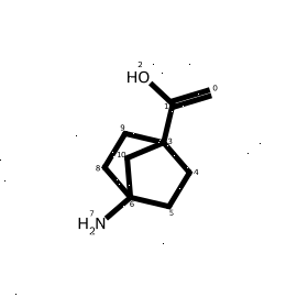 C=C(O)C12CCC(N)(CC1)C2